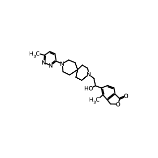 Cc1ccc(N2CCC3(CCN(CC(O)c4ccc5c(c4C)COC5=O)CC3)CC2)nn1